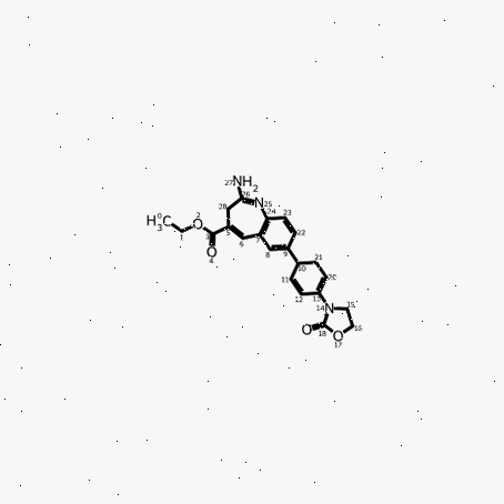 CCOC(=O)C1=Cc2cc(C3C=CC(N4CCOC4=O)=CC3)ccc2N=C(N)C1